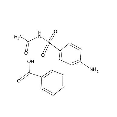 NC(=O)NS(=O)(=O)c1ccc(N)cc1.O=C(O)c1ccccc1